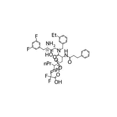 CCCC(CCC)S(=O)(=O)CC(NC(=O)CCc1ccccc1)C(=O)N(Cc1cccc(CC)c1)C[C@@H](O)[C@@H](N)Cc1cc(F)cc(F)c1.O=C(O)C(F)(F)F